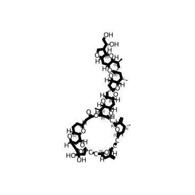 C=C1C[C@@H]2CC[C@]34CC(O)(O)C(O3)[C@H]3C[C@@H](O4)C4O[C@H](CC[C@@H]4O3)CC(=O)O[C@@H]3[C@@H](C)[C@@H]4O[C@@H]5C[C@@]6(C[C@@H]7O[C@]8(C[C@H](C)[C@@H]9O[C@@H]%10C([C@@H](O)CO)CO[C@@H]%10C[C@@H]9O8)C[C@H](C)[C@@H]7O6)O[C@@H]5C[C@@H]4O[C@H]3C[C@H]3O[C@@H](CC[C@@H]1O2)C[C@@H](C)C3=C